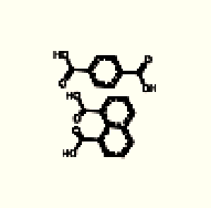 O=C(O)c1ccc(C(=O)O)cc1.O=C(O)c1cccc2cccc(C(=O)O)c12